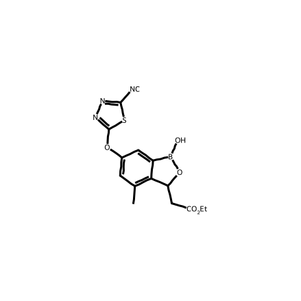 [C-]#[N+]c1nnc(Oc2cc(C)c3c(c2)B(O)OC3CC(=O)OCC)s1